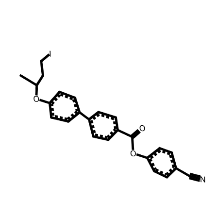 CC(CCI)Oc1ccc(-c2ccc(C(=O)Oc3ccc(C#N)cc3)cc2)cc1